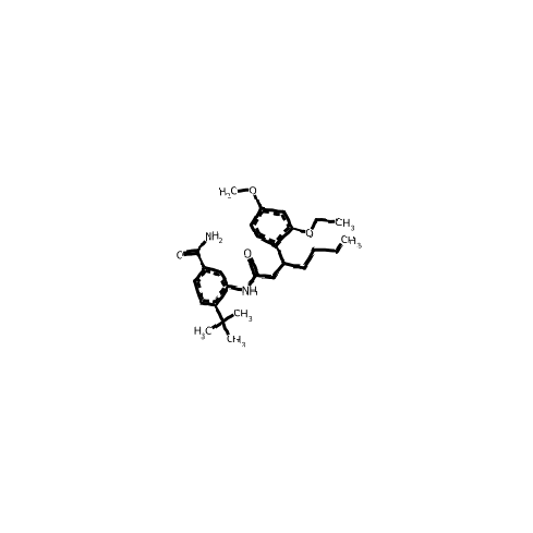 CCCCC(CC(=O)Nc1cc(C(N)=O)ccc1C(C)(C)C)c1ccc(OC)cc1OCC